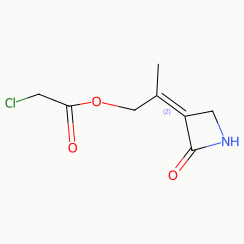 C/C(COC(=O)CCl)=C1\CNC1=O